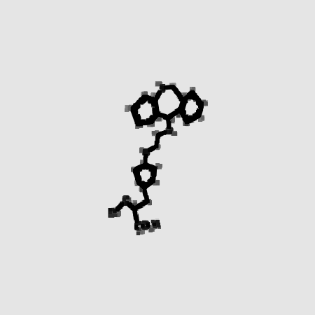 CCOC(Cc1ccc(OCCOC2c3ccccc3CSc3ccccc32)cc1)C(=O)O